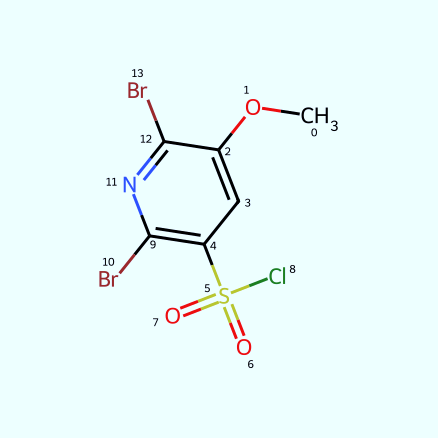 COc1cc(S(=O)(=O)Cl)c(Br)nc1Br